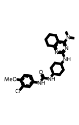 COc1ccc(NC(=O)NC2CCC(Nc3nc4c(c(N(C)C)n3)CCCC4)CC2)cc1Cl